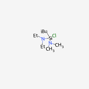 CCC(C)[Si](Cl)(N(C)C)N(CC)CC